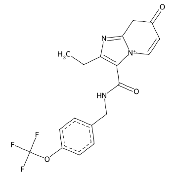 CCC1=C(C(=O)NCc2ccc(OC(F)(F)F)cc2)[N+]2C=CC(=O)CC2=N1